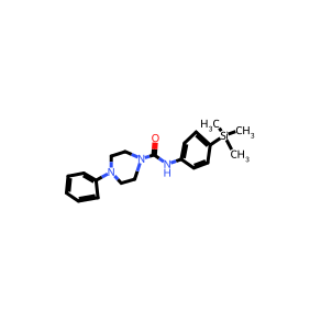 C[Si](C)(C)c1ccc(NC(=O)N2CCN(c3ccccc3)CC2)cc1